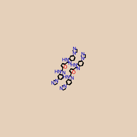 C1=NCCN1c1ccc2nc(-c3ccc(-c4nc5ccc(N6C=NCC6)cc5[nH]4)o3)[nH]c2c1.C1=NCCN1c1ccc2nc(-c3ccc(-c4nc5ccc(N6C=NCC6)cc5[nH]4)o3)[nH]c2c1